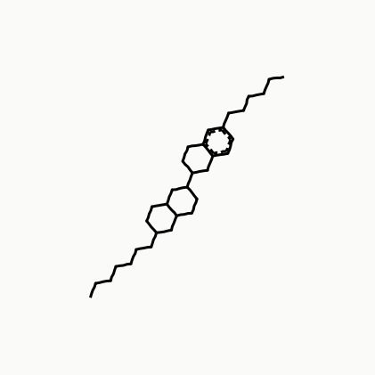 CCCCCCCC1CCC2CC(C3CCc4cc(CCCCCC)ccc4C3)CCC2C1